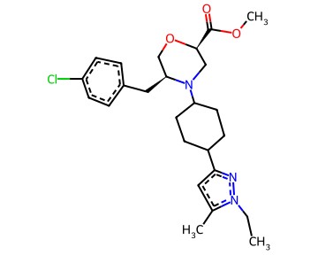 CCn1nc(C2CCC(N3C[C@H](C(=O)OC)OC[C@@H]3Cc3ccc(Cl)cc3)CC2)cc1C